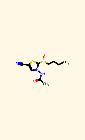 CCCC[S+]([O-])C1SC(C#N)=CN1NC(C)=O